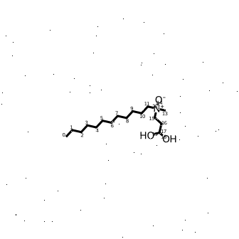 CCCCCCCCCCCC[N+](C)([O-])CCC(O)O